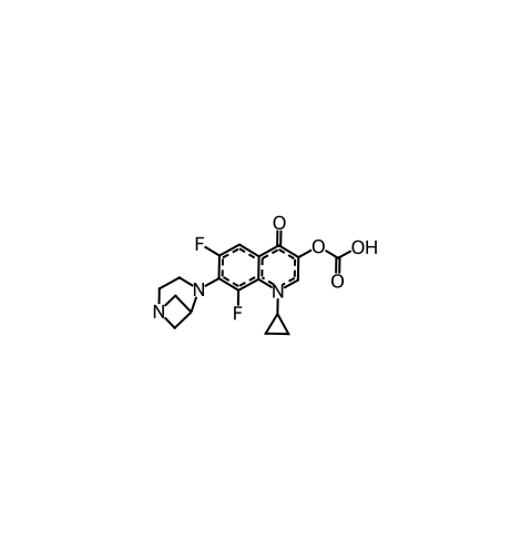 O=C(O)Oc1cn(C2CC2)c2c(F)c(N3CCN4CC3C4)c(F)cc2c1=O